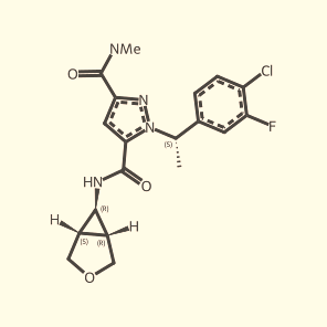 CNC(=O)c1cc(C(=O)N[C@H]2[C@@H]3COC[C@@H]32)n([C@@H](C)c2ccc(Cl)c(F)c2)n1